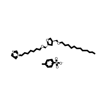 CCCCCCCCCCCCOC[C@@H]1CO[C@@H](COCCCCCCC[n+]2ccsc2)C1.Cc1ccc(S(=O)(=O)[O-])cc1